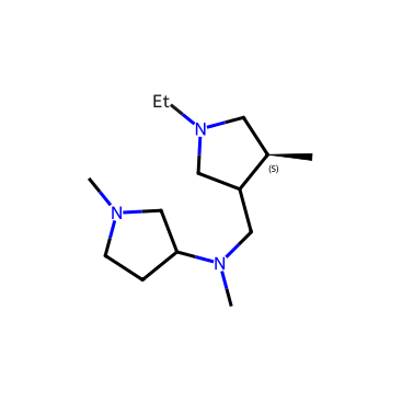 CCN1CC(CN(C)C2CCN(C)C2)[C@H](C)C1